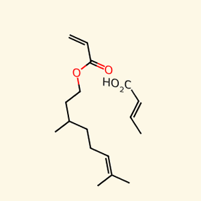 C=CC(=O)OCCC(C)CCC=C(C)C.CC=CC(=O)O